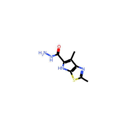 Cc1nc2c(C)c(C(=O)NN)[nH]c2s1